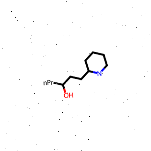 CCCC(O)CCC1CCCC[N]1